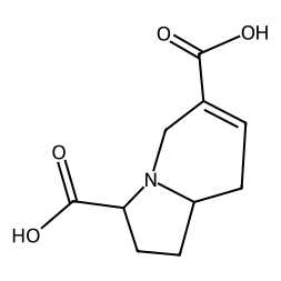 O=C(O)C1=CCC2CCC(C(=O)O)N2C1